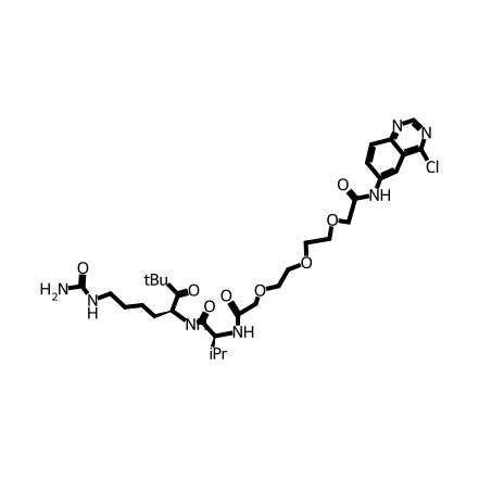 CC(C)[C@H](NC(=O)COCCOCCOCC(=O)Nc1ccc2ncnc(Cl)c2c1)C(=O)N[C@@H](CCCCNC(N)=O)C(=O)C(C)(C)C